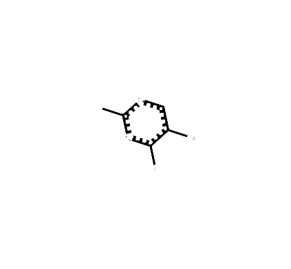 CC(C)(C)c1nc(Cl)ncc1Br